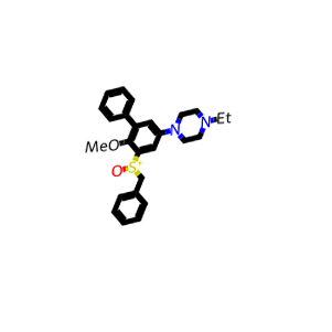 CCN1CCN(c2cc(-c3ccccc3)c(OC)c([S+]([O-])Cc3ccccc3)c2)CC1